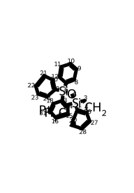 C=C[Si](C=C)(O[Si](c1ccccc1)(c1ccccc1)c1ccccc1)c1ccccc1.[Pt]